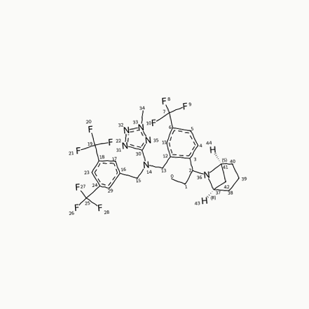 CCC(c1ccc(C(F)(F)F)cc1CN(Cc1cc(C(F)(F)F)cc(C(F)(F)F)c1)c1nnn(C)n1)N1[C@@H]2CCC[C@H]1C2